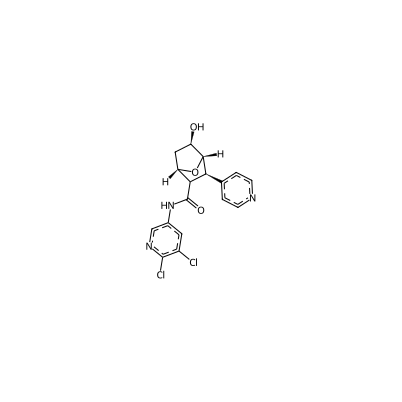 O=C(Nc1cnc(Cl)c(Cl)c1)C1[C@@H]2C[C@@H](O)[C@@H](O2)[C@H]1c1ccncc1